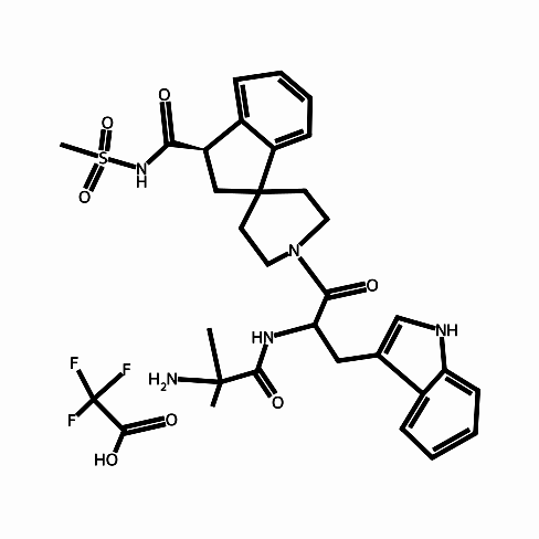 CC(C)(N)C(=O)NC(Cc1c[nH]c2ccccc12)C(=O)N1CCC2(CC1)C[C@@H](C(=O)NS(C)(=O)=O)c1ccccc12.O=C(O)C(F)(F)F